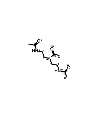 CC(=O)NCCN(CCNC(C)=O)C(C)=O